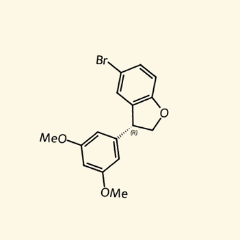 COc1cc(OC)cc([C@H]2COc3ccc(Br)cc32)c1